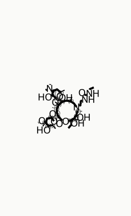 CCNC(=O)NCCN1C[C@H](C)C[C@@](C)(O)[C@H](O[C@@H]2O[C@H](C)C[C@H](N(C)C)[C@H]2O)[C@@H](C)[C@H](O[C@H]2C[C@@](C)(OC)[C@@H](O)[C@H](C)O2)[C@@H](C)C(=O)O[C@H](CC)[C@@](C)(O)[C@H](O)[C@H]1C